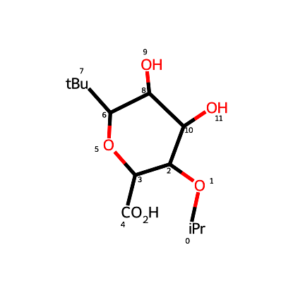 CC(C)OC1C(C(=O)O)OC(C(C)(C)C)C(O)C1O